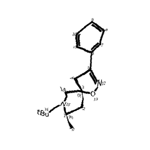 C[C@@H]1C[C@]2(CC(c3ccccc3)=NO2)CN1C(C)(C)C